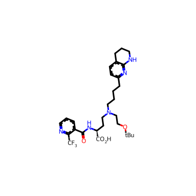 CC(C)(C)OCCN(CCCCc1ccc2c(n1)NCCC2)CC[C@H](NC(=O)c1cccnc1C(F)(F)F)C(=O)O